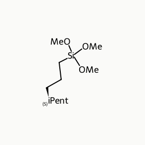 CCC[C@H](C)CCC[Si](OC)(OC)OC